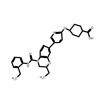 CCc1ccccc1NC(=O)N1CC(CC)Oc2cc(-c3ccc(OC4CCC(C(=O)O)CC4)nc3)ccc21